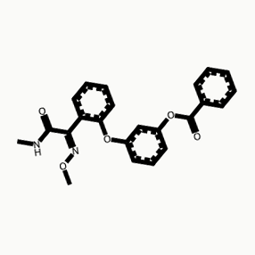 CNC(=O)/C(=N\OC)c1ccccc1Oc1cccc(OC(=O)c2ccccc2)c1